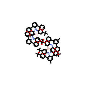 Cc1cc(-c2ccccc2)c(N2c3ccc(C(C)(C)C)cc3B3c4cc(C(C)(C)C)ccc4N(c4c(-c5ccc(C(C)(C)C)cc5)cc(C)cc4-c4cccc(CC(C)(C)c5ccc6c(c5)B5c7cc(C(C)(C)C)ccc7N(c7c(-c8ccccc8)cccc7-c7cccc(C(C)(C)C)c7)c7cccc(c75)N6c5c(-c6ccccc6)cccc5-c5cccc(C(C)(C)C)c5)c4)c4cccc2c43)c(-c2ccc(C(C)(C)C)cc2)c1